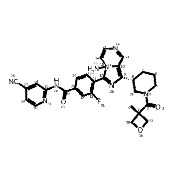 CC1(C(=O)N2CCC[C@@H](C3=C4C=NC=C[N+]4(N)C(c4ccc(C(=O)Nc5cc(C#N)ccn5)cc4F)=N3)C2)COC1